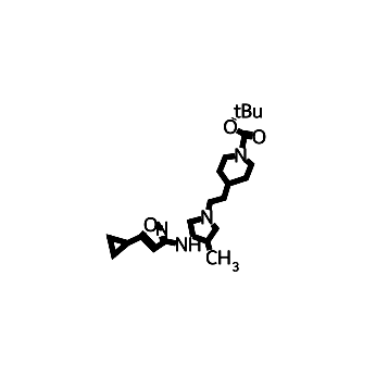 CC1CN(CCC2CCN(C(=O)OC(C)(C)C)CC2)CC1Nc1cc(C2CC2)on1